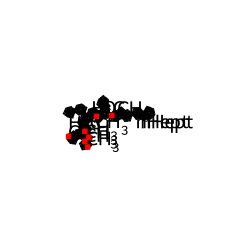 CCCCCCCC1(CCCCCCC)c2ccccc2-c2ccc(-c3ccc4c(c3)C(C)(C)c3cc(-c5cc6c(c7c5oc5ccccc57)-c5ccc(N(c7cccc(-c8ccccc8)c7)c7ccc8c(c7)C(C)(C)c7c9c(c%10c(oc%11ccccc%11%10)c7-8)-c7ccccc7C9(C)C)cc5C6(C)C)ccc3-4)cc21